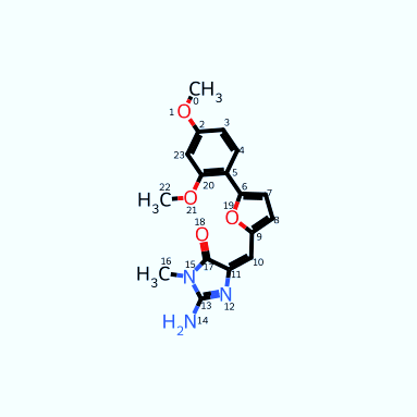 COc1ccc(-c2ccc(C=C3N=C(N)N(C)C3=O)o2)c(OC)c1